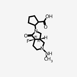 CNN1CC[C@]2(F)C(=O)N(C3CCCC3C(=O)O)C[C@@H]2C1